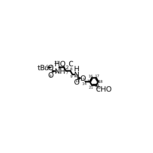 CC(C)(C)OC(=O)NC(CCCCNC(=O)OCc1cccc(C=O)c1)C(=O)O